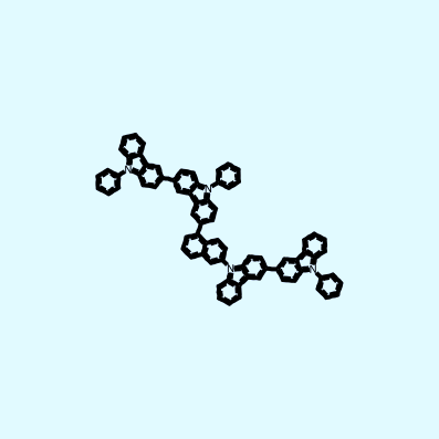 c1ccc(-n2c3ccccc3c3cc(-c4ccc5c(c4)c4ccccc4n5-c4ccc5c(-c6ccc7c(c6)c6cc(-c8ccc9c(c8)c8ccccc8n9-c8ccccc8)ccc6n7-c6ccccc6)cccc5c4)ccc32)cc1